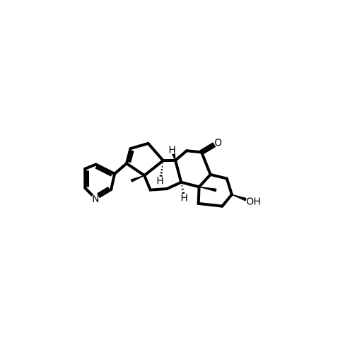 C[C@]12CC[C@H](O)CC1C(=O)C[C@@H]1[C@@H]2CC[C@]2(C)C(c3cccnc3)=CC[C@@H]12